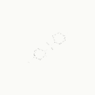 Nc1ccc(S(=O)(=O)c2ccc(Cl)cc2)nc1